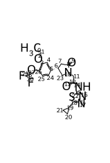 CCOc1cc([C@@H]2CC(=O)N(CC(=O)Nc3nnc(C4CC4)s3)C2)ccc1OC(F)F